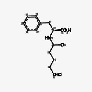 O=CCCCC(=O)N[C@@H](Cc1ccccc1)C(=O)O